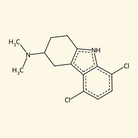 CN(C)C1CCc2[nH]c3c(Cl)ccc(Cl)c3c2C1